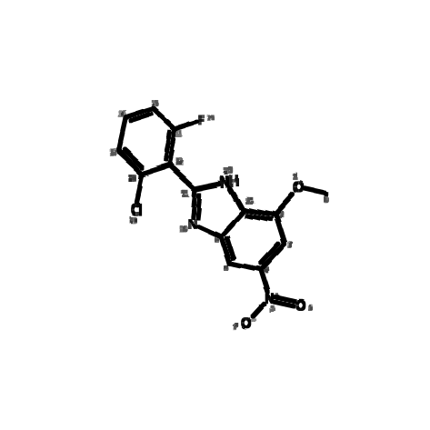 COc1cc([N+](=O)[O-])cc2nc(-c3c(F)cccc3Cl)[nH]c12